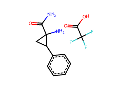 NC(=O)C1(N)CC1c1ccccc1.O=C(O)C(F)(F)F